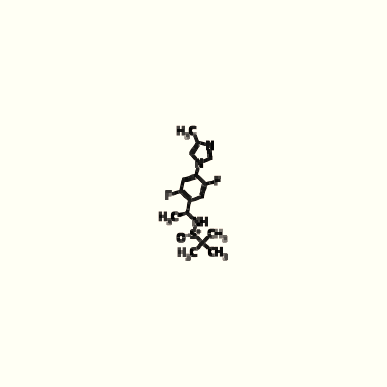 Cc1cn(-c2cc(F)c([C@H](C)N[S+]([O-])C(C)(C)C)cc2F)cn1